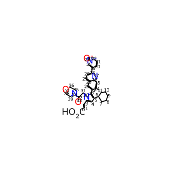 O=C(O)/C=C/c1cc(C2CCCCC2)c(-c2ccc3nc(-c4ccc[n+]([O-])c4)ccc3c2)n1CC(=O)N1CCOCC1